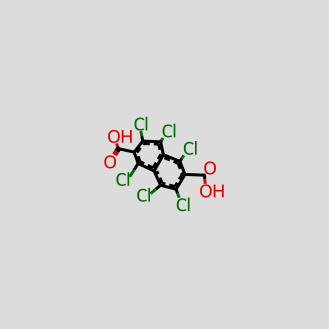 O=C(O)c1c(Cl)c(Cl)c2c(Cl)c(C(=O)O)c(Cl)c(Cl)c2c1Cl